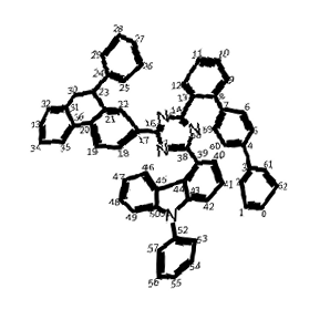 c1ccc(-c2ccc(-c3ccccc3-c3nc(-c4ccc5c(c4)C(c4ccccc4)Cc4ccccc4-5)nc(-c4cccc5c4c4ccccc4n5-c4ccccc4)n3)cc2)cc1